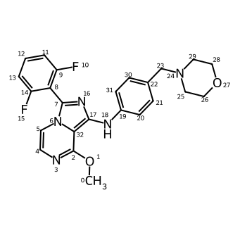 COc1nccn2c(-c3c(F)cccc3F)nc(Nc3ccc(CN4CCOCC4)cc3)c12